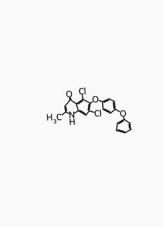 Cc1cc(=O)c2c(Cl)c(Oc3ccc(Oc4ccccc4)cc3)c(Cl)cc2[nH]1